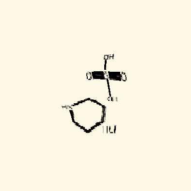 C1CCNCC1.Cl.O=S(=O)(O)O